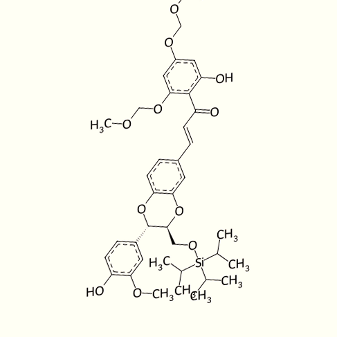 COCOc1cc(O)c(C(=O)/C=C/c2ccc3c(c2)O[C@@H](CO[Si](C(C)C)(C(C)C)C(C)C)[C@H](c2ccc(O)c(OC)c2)O3)c(OCOC)c1